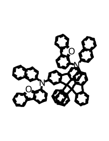 c1ccc(C2(C3(c4ccccc4)c4ccccc4-c4ccc(N(c5ccc6ccccc6c5)c5cccc6c5oc5ccccc56)cc43)c3ccccc3-c3ccc(N(c4ccc5ccccc5c4)c4cccc5c4oc4ccccc45)cc32)cc1